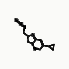 [N-]=[N+]=NCc1cn2ncc(C3CC3)cc2n1